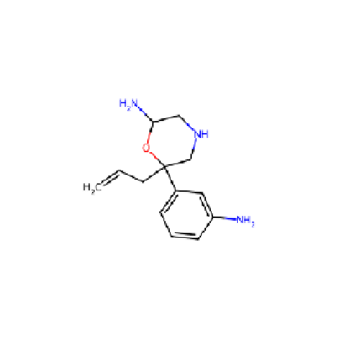 C=CCC1(c2cccc(N)c2)CNCC(N)O1